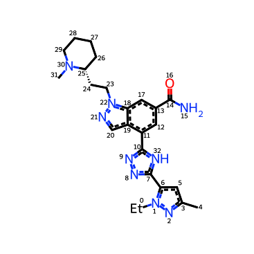 CCn1nc(C)cc1-c1nnc(-c2cc(C(N)=O)cc3c2cnn3CC[C@H]2CCCCN2C)[nH]1